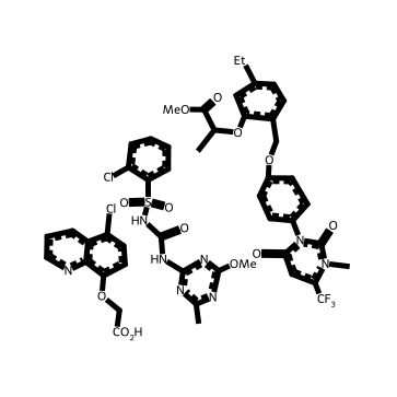 CCc1ccc(COc2ccc(-n3c(=O)cc(C(F)(F)F)n(C)c3=O)cc2)c(OC(C)C(=O)OC)c1.COc1nc(C)nc(NC(=O)NS(=O)(=O)c2ccccc2Cl)n1.O=C(O)COc1ccc(Cl)c2cccnc12